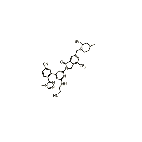 CC(C)[C@H]1CN(C)CCN1Cc1cc2c(c(C(F)(F)F)c1)CN(c1cc(-c3cc(C#N)ccc3-c3nncn3C)cc(NCCC#N)n1)C2=O